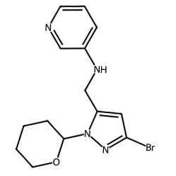 Brc1cc(CNc2cccnc2)n(C2CCCCO2)n1